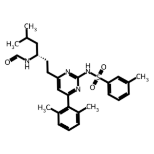 Cc1cccc(S(=O)(=O)Nc2nc(CC[C@@H](CC(C)C)NC=O)cc(-c3c(C)cccc3C)n2)c1